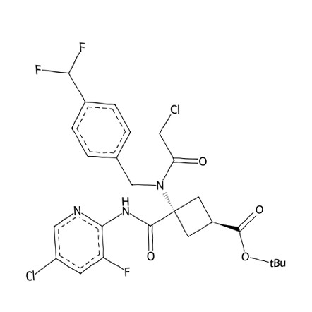 CC(C)(C)OC(=O)[C@H]1C[C@](C(=O)Nc2ncc(Cl)cc2F)(N(Cc2ccc(C(F)F)cc2)C(=O)CCl)C1